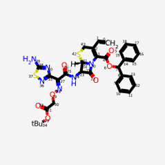 C=CC1=C(C(=O)OC(c2ccccc2)c2ccccc2)N2C(=O)C(NC(=O)C(=NOCC(=O)OC(C)(C)C)c3nsc(N)n3)[C@@H]2SC1